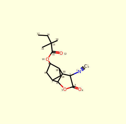 [C-]#[N+]C1C(=O)OC2C3CC(OC(=O)C(C)(C)CC)C(C3)C12